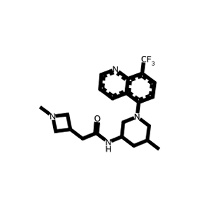 CC1CC(NC(=O)CC2CN(C)C2)CN(c2ccc(C(F)(F)F)c3ncccc23)C1